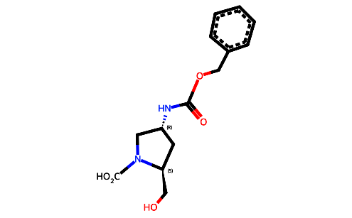 O=C(N[C@@H]1C[C@@H](CO)N(C(=O)O)C1)OCc1ccccc1